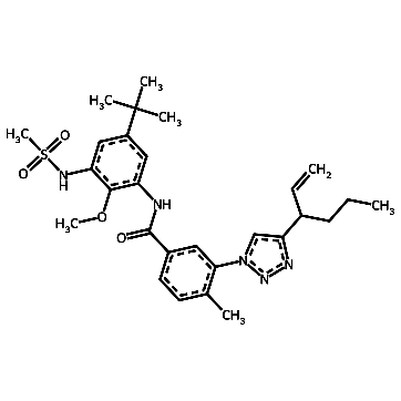 C=CC(CCC)c1cn(-c2cc(C(=O)Nc3cc(C(C)(C)C)cc(NS(C)(=O)=O)c3OC)ccc2C)nn1